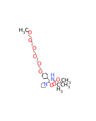 COCCOCCOCCOCCOCCOc1ccc([C@H](NC(=O)OC(C)(C)C)C(=O)N2CCCC2)cc1